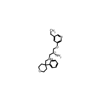 CCc1cncc(OC[C@@H](N)CNCC2(c3ccccc3)CCOCC2)c1